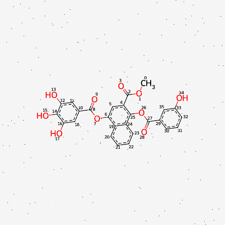 COC(=O)c1cc(OC(=O)c2cc(O)c(O)c(O)c2)c2ccccc2c1OC(=O)c1cccc(O)c1